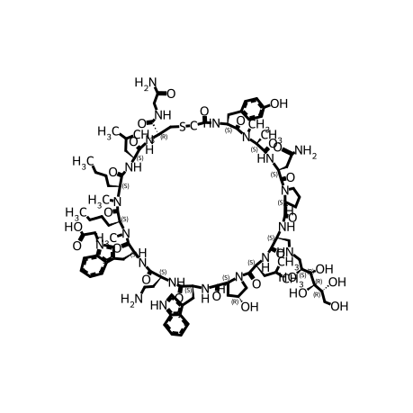 CCCC[C@H]1C(=O)N(C)[C@@H](CCCC)C(=O)N[C@@H](CC(C)C)C(=O)N[C@H](C(=O)NCC(N)=O)CSCC(=O)N[C@@H](Cc2ccc(O)cc2)C(=O)N(C)[C@@H](C)C(=O)N[C@@H](CC(N)=O)C(=O)N2CCC[C@H]2C(=O)N[C@@H](CNC[C@H](O)[C@@H](O)[C@H](O)[C@H](O)CO)C(=O)N[C@@H](CC(C)C)C(=O)N2C[C@H](O)C[C@H]2C(=O)N[C@@H](Cc2c[nH]c3ccccc23)C(=O)N[C@@H](CCN)C(=O)N[C@@H](Cc2cn(CC(=O)O)c3ccccc23)C(=O)N1C